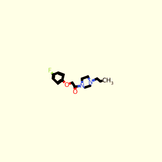 CCCN1CCN(C(=O)COc2ccc(F)cc2)CC1